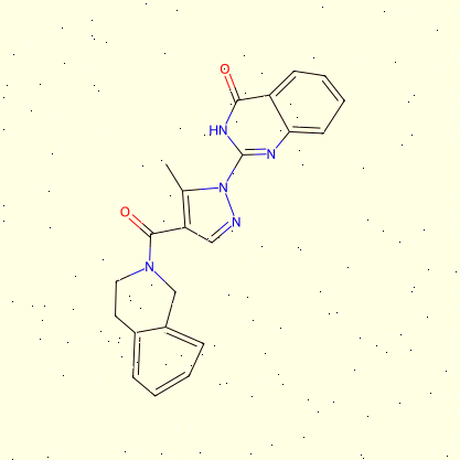 Cc1c(C(=O)N2CCc3ccccc3C2)cnn1-c1nc2ccccc2c(=O)[nH]1